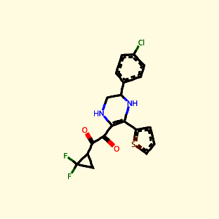 O=C(C(=O)C1CC1(F)F)C1=C(c2cccs2)NC(c2ccc(Cl)cc2)CN1